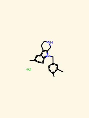 Cc1ccc2c(c1)c1c(n2Cc2ccc(C)c(C)c2)CNCC1.Cl